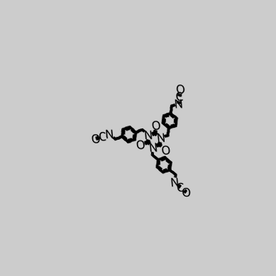 O=C=NCc1ccc(Cn2c(=O)n(Cc3ccc(CN=C=O)cc3)c(=O)n(Cc3ccc(CN=C=O)cc3)c2=O)cc1